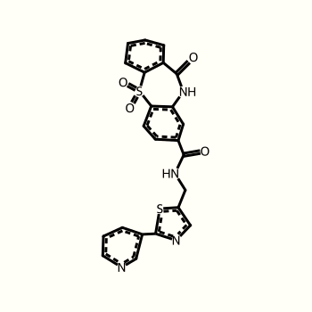 O=C(NCc1cnc(-c2cccnc2)s1)c1ccc2c(c1)NC(=O)c1ccccc1S2(=O)=O